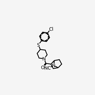 N#CN1C2CCC1C(C(=O)N1CCC(Sc3ccc(Cl)cc3)CC1)C2